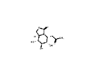 CC(=O)C[C@@H]1[C@H](O)[C@@H](O)[C@H](O)[C@H]2COC(=O)N12